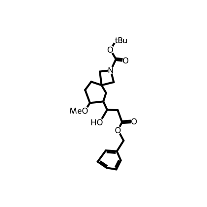 COC1CCC2(CC1C(O)CC(=O)OCc1ccccc1)CN(C(=O)OC(C)(C)C)C2